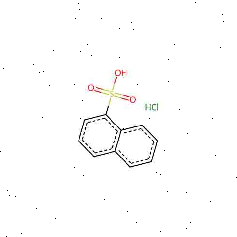 Cl.O=S(=O)(O)c1cccc2ccccc12